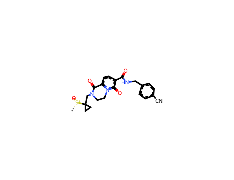 C[S@+]([O-])C1(CN2CCn3c(ccc(C(=O)NCc4ccc(C#N)cc4)c3=O)C2=O)CC1